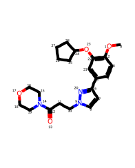 COc1ccc(-c2ccn(CCC(=O)N3CCOCC3)n2)cc1OC1CCCC1